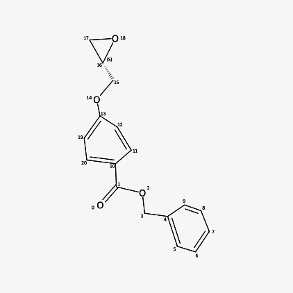 O=C(OCc1ccccc1)c1ccc(OC[C@@H]2CO2)cc1